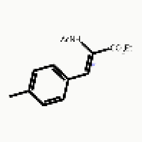 CCOC(=O)/C(=C/c1ccc(C)cc1)NC(C)=O